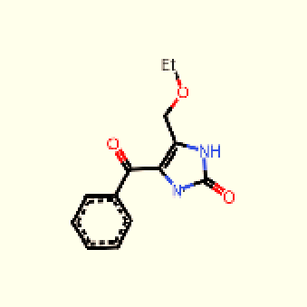 CCOCC1=C(C(=O)c2ccccc2)[N]C(=O)N1